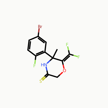 CC1(c2cc(Br)ccc2F)NC(=S)COC1=C(F)F